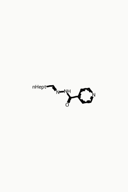 CCCCCCC/C=N/NC(=O)c1ccncc1